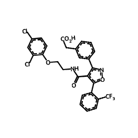 O=C(O)Cc1cccc(-c2noc(-c3ccccc3C(F)(F)F)c2C(=O)NCCOc2ccc(Cl)cc2Cl)c1